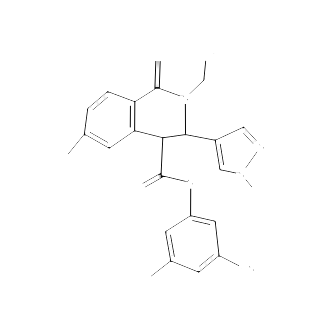 CC(C)CN1C(=O)c2ccc(F)cc2C(C(=O)Nc2cc(F)cc(C#N)c2)C1c1cnn(C)c1